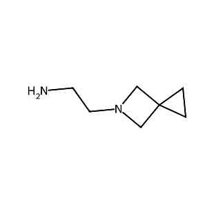 NCCN1CC2(CC2)C1